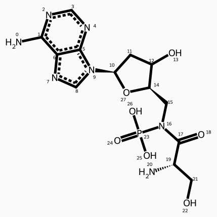 Nc1ncnc2c1ncn2[C@H]1CC(O)[C@@H](CN(C(=O)[C@@H](N)CO)P(=O)(O)O)O1